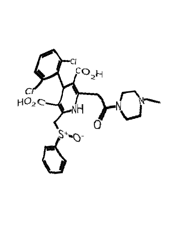 CN1CCN(C(=O)CC2=C(C(=O)O)C(c3c(Cl)cccc3Cl)C(C(=O)O)=C(C[S+]([O-])c3ccccc3)N2)CC1